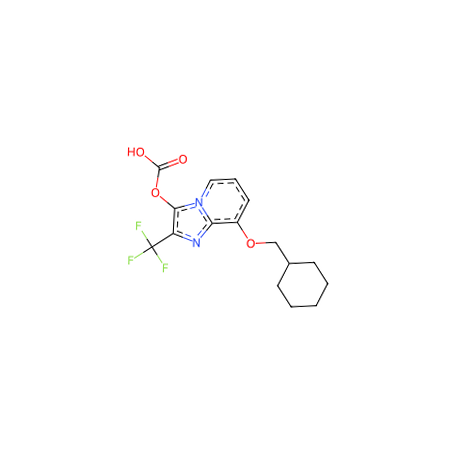 O=C(O)Oc1c(C(F)(F)F)nc2c(OCC3CCCCC3)cccn12